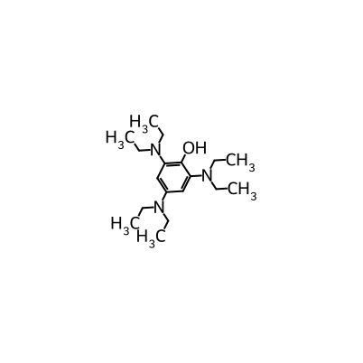 CCN(CC)c1cc(N(CC)CC)c(O)c(N(CC)CC)c1